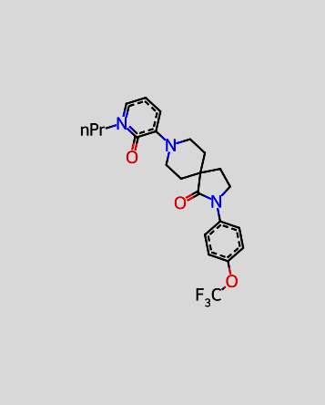 CCCn1cccc(N2CCC3(CC2)CCN(c2ccc(OC(F)(F)F)cc2)C3=O)c1=O